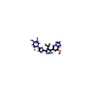 COc1cc(-c2[nH]nc(-c3ncc(N4C[C@H](C)N(C)C[C@H]4C)s3)c2C(C)C)cn2ncnc12